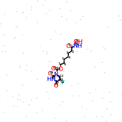 O=C(CCCCCCOC(=O)n1cc(F)c(=O)[nH]c1=O)NO